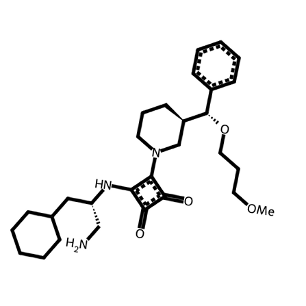 COCCCO[C@@H](c1ccccc1)[C@@H]1CCCN(c2c(N[C@H](CN)CC3CCCCC3)c(=O)c2=O)C1